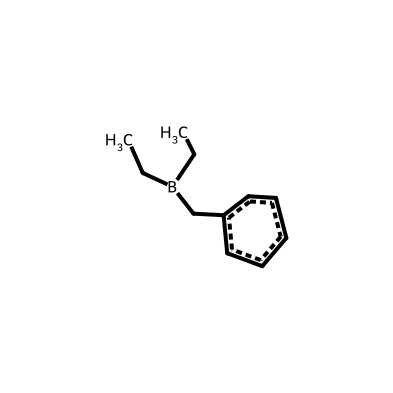 CCB(CC)Cc1ccccc1